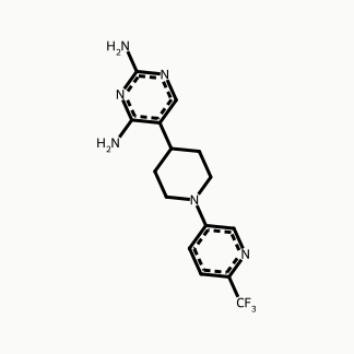 Nc1ncc(C2CCN(c3ccc(C(F)(F)F)nc3)CC2)c(N)n1